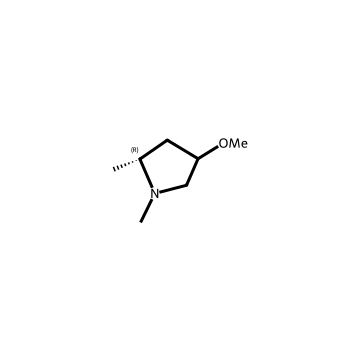 COC1C[C@@H](C)N(C)C1